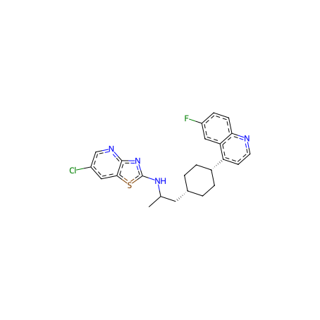 CC(C[C@H]1CC[C@@H](c2ccnc3ccc(F)cc32)CC1)Nc1nc2ncc(Cl)cc2s1